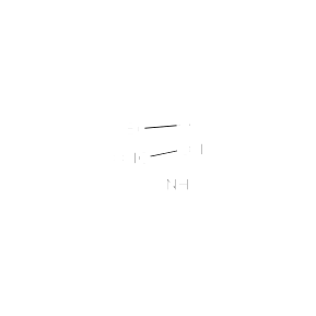 CCO.N.O=CO